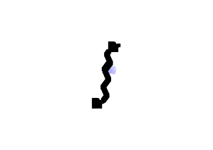 BrC/C=C/CCCBr